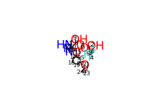 O=C(O)C(F)(F)F.O=C(O)c1[nH]nnc1Oc1cccc(OC2CC2)c1